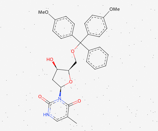 COc1ccc(C(OC[C@H]2O[C@@H](n3c(=O)[nH]cc(C)c3=O)C[C@H]2O)(c2ccccc2)c2ccc(OC)cc2)cc1